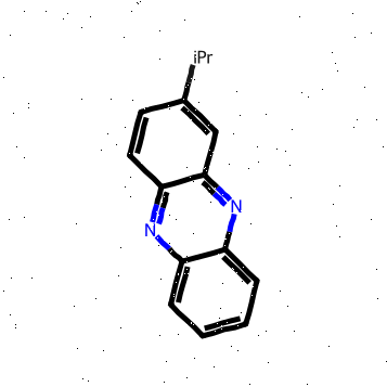 CC(C)c1ccc2nc3ccccc3nc2c1